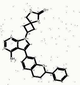 Nc1ncnc2c1c(-c1ccc3c(c1)OC(c1ccccc1)CC3)cn2C1CC2(COC(=O)O2)C1